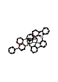 c1ccc(-c2ccc(N(c3ccccc3-c3ccccc3)c3cccc4c3C3(c5c-4cccc5-n4c5ccccc5c5ccccc54)C4CC5CC(C4)C3C5)cc2)cc1